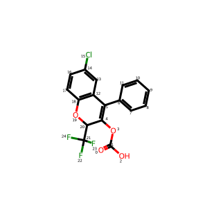 O=C(O)OC1=C(c2ccccc2)c2cc(Cl)ccc2OC1C(F)(F)F